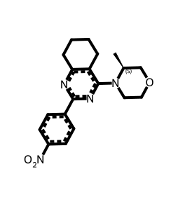 C[C@H]1COCCN1c1nc(-c2ccc([N+](=O)[O-])cc2)nc2c1CCCC2